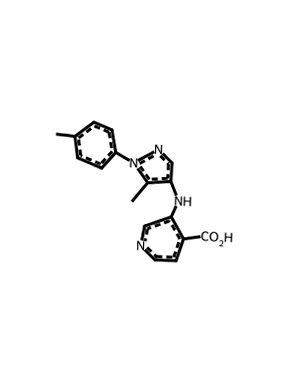 Cc1ccc(-n2ncc(Nc3cnccc3C(=O)O)c2C)cc1